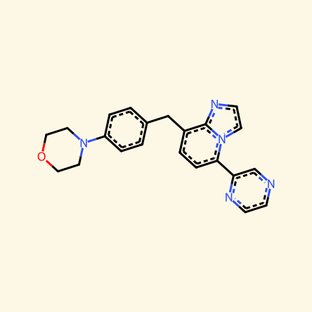 c1cnc(-c2ccc(Cc3ccc(N4CCOCC4)cc3)c3nccn23)cn1